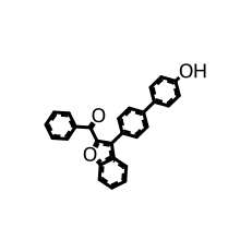 O=C(c1ccccc1)c1oc2ccccc2c1-c1ccc(-c2ccc(O)cc2)cc1